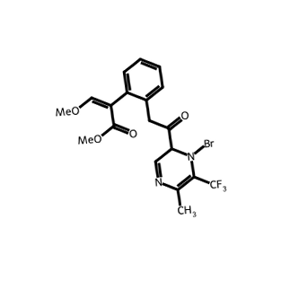 COC=C(C(=O)OC)c1ccccc1CC(=O)C1C=NC(C)=C(C(F)(F)F)N1Br